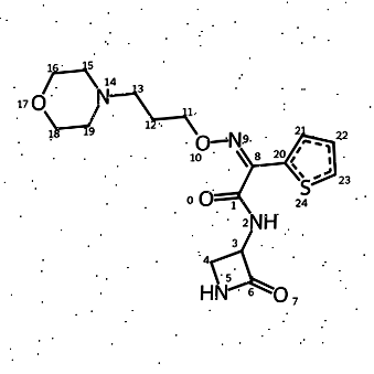 O=C(NC1CNC1=O)/C(=N\OCCCN1CCOCC1)c1cccs1